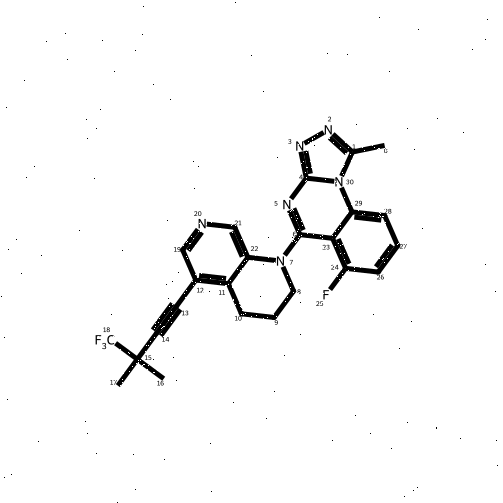 Cc1nnc2nc(N3CCCc4c(C#CC(C)(C)C(F)(F)F)cncc43)c3c(F)cccc3n12